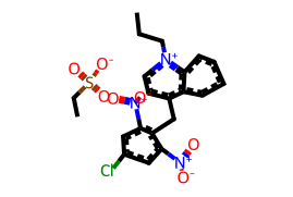 CCC[n+]1ccc(Cc2c([N+](=O)[O-])cc(Cl)cc2[N+](=O)[O-])c2ccccc21.CCS(=O)(=O)[O-]